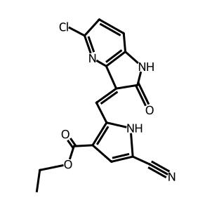 CCOC(=O)c1cc(C#N)[nH]c1/C=C1\C(=O)Nc2ccc(Cl)nc21